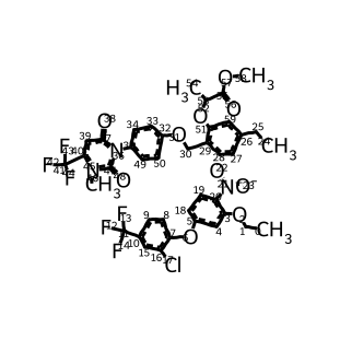 CCOc1cc(Oc2ccc(C(F)(F)F)cc2Cl)ccc1[N+](=O)[O-].CCc1ccc(COc2ccc(-n3c(=O)cc(C(F)(F)F)n(C)c3=O)cc2)c(OC(C)C(=O)OC)c1